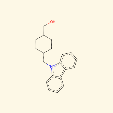 OCC1CCC(Cn2c3ccccc3c3ccccc32)CC1